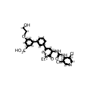 CCn1nc(-c2cccc(-c3cc(OCCO)cc(C(=O)O)c3)c2)cc(NC(=O)Nc2c(Cl)cncc2Cl)c1=O